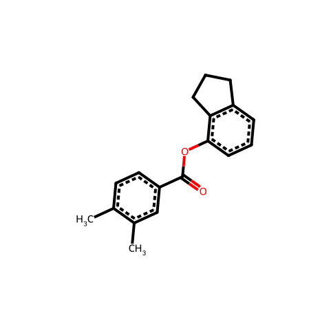 Cc1ccc(C(=O)Oc2cccc3c2CCC3)cc1C